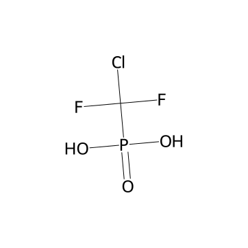 O=P(O)(O)C(F)(F)Cl